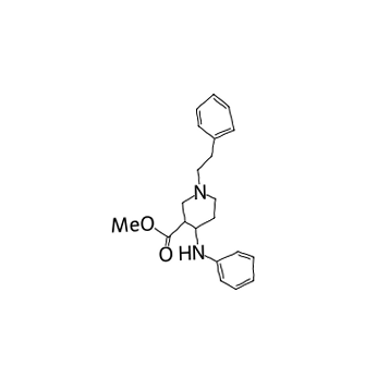 COC(=O)C1CN(CCc2ccccc2)CCC1Nc1ccccc1